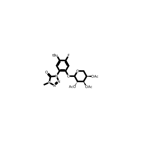 CC(=O)O[C@H]1[C@H](OC(C)=O)C(Oc2cc(F)c(C(C)(C)C)cc2-n2nnn(C)c2=O)OC[C@H]1OC(C)=O